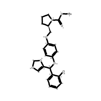 CC(C)(C)OC(=O)N1CCC[C@@H]1COc1ccc(OC(C2=COCO2)c2ccccc2Cl)cc1